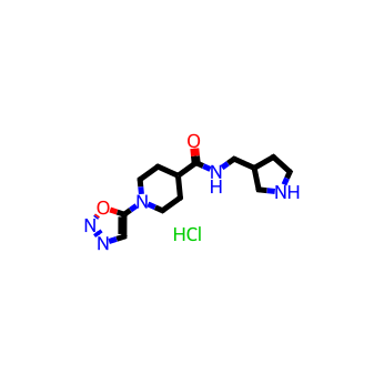 Cl.O=C(NCC1CCNC1)C1CCN(c2cnno2)CC1